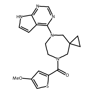 COc1csc(C(=O)N2CCN(c3ncnc4[nH]ccc34)CC3(CC3)C2)c1